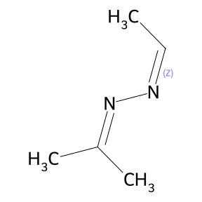 C/C=N\N=C(C)C